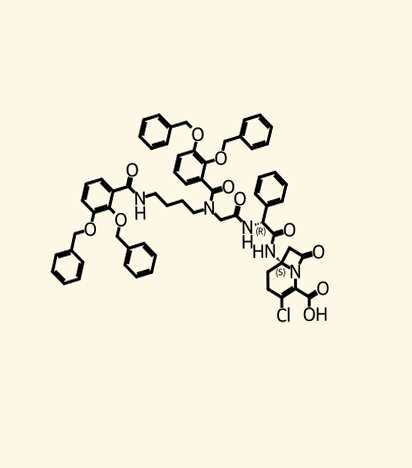 O=C(CN(CCCCNC(=O)c1cccc(OCc2ccccc2)c1OCc1ccccc1)C(=O)c1cccc(OCc2ccccc2)c1OCc1ccccc1)N[C@@H](C(=O)N[C@@]12CCC(Cl)=C(C(=O)O)N1C(=O)C2)c1ccccc1